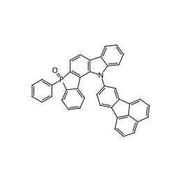 O=P1(c2ccccc2)c2ccccc2-c2c1ccc1c3ccccc3n(-c3ccc4c(c3)-c3cccc5cccc-4c35)c21